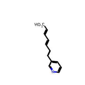 O=C(O)C=CC=CCCc1cccnc1